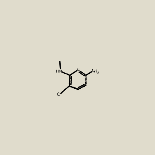 CNc1nc(N)ccc1Cl